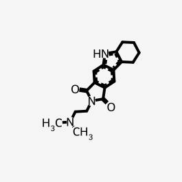 CN(C)CCN1C(=O)c2cc3[nH]c4c(c3cc2C1=O)CCCC4